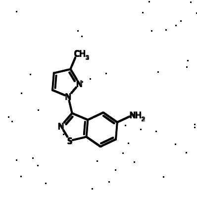 Cc1ccn(-c2nsc3ccc(N)cc23)n1